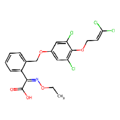 CCON=C(C(=O)O)c1ccccc1COc1cc(Cl)c(OCC=C(Cl)Cl)c(Cl)c1